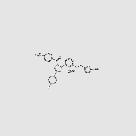 COc1c(CCc2ccc(C(C)=O)s2)cccc1C1CC(c2ccc(F)cc2)=CC1C(=O)c1ccc(C)cc1